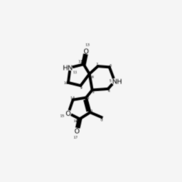 CC1=C(C2CNCCC23CCNC3=O)COC1=O